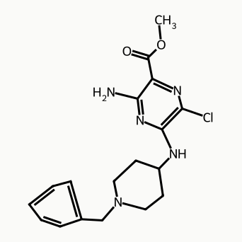 COC(=O)c1nc(Cl)c(NC2CCN(Cc3ccccc3)CC2)nc1N